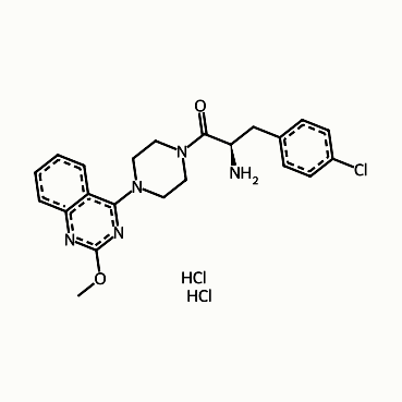 COc1nc(N2CCN(C(=O)[C@H](N)Cc3ccc(Cl)cc3)CC2)c2ccccc2n1.Cl.Cl